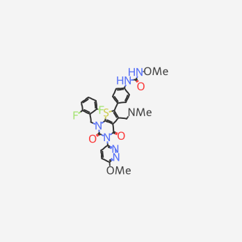 CNCc1c(-c2ccc(NC(=O)NOC)cc2)sc2c1c(=O)n(-c1ccc(OC)nn1)c(=O)n2Cc1c(F)cccc1F